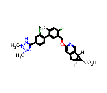 CN1N=C(c2ccc(-c3cc(COc4cc5c(cn4)[C@H]4[C@@H](C5)[C@@H]4C(=O)O)c(F)cc3C(F)(F)F)c(F)c2)NN1C